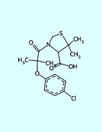 CC(C)(Oc1ccc(Cl)cc1)C(=O)N1CSC(C)(C)C1C(=O)O